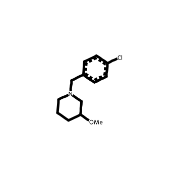 COC1CCCN(Cc2ccc(Cl)cc2)C1